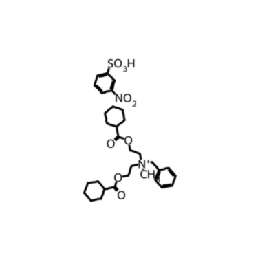 C[N+](CCOC(=O)C1CCCCC1)(CCOC(=O)C1CCCCC1)Cc1ccccc1.O=[N+]([O-])c1cccc(S(=O)(=O)O)c1